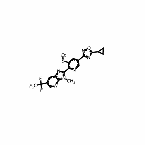 CCSc1cc(-c2noc(C3CC3)n2)cnc1-c1nc2cc(C(F)(F)C(F)(F)F)cnc2n1C